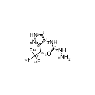 NNC(=O)Nc1c[nH]nc1CC(F)(F)F